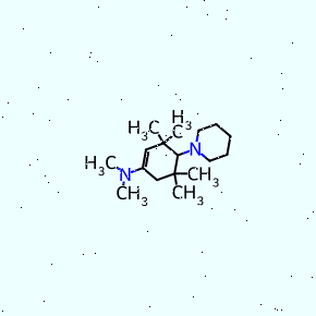 CN(C)C1=CC(C)(C)C(N2CCCCC2)C(C)(C)C1